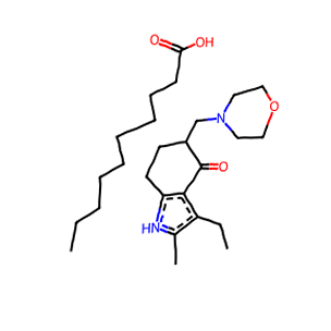 CCCCCCCCCC(=O)O.CCc1c(C)[nH]c2c1C(=O)C(CN1CCOCC1)CC2